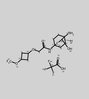 NC12CCC(NC(=O)COC3CC(OC(F)(F)F)C3)(CC1)C[C@@H]2O.O=C(O)C(F)(F)F